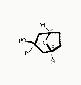 CC[C@]1(O)C[C@H]2CC[C@@H](C1)O2